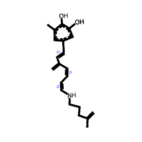 C=C(/C=C\C=C/NCCCC(=C)C)/C=C/c1cc(C)c(O)c(O)c1